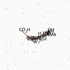 CN[C@@H](CCCCNC(=O)COCCOCCNC(=O)COCCOCCNC(=O)CCC(NC(=O)C1CCC(CNC(=O)CCCCCCCCCCCCCCCCCCC(=O)O)CC1)C(=O)O)C(=O)CN[C@@H](Cc1ccc(O)cc1)C(N)=O